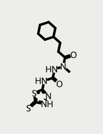 CN(NC(=O)Nc1n[nH]c(=S)s1)C(=O)CCC1CCCCC1